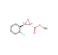 CC(C)(C)OC(=O)[C@H]1O[C@@H]1c1ccccc1F